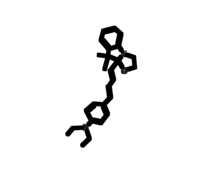 CCN(CC)c1ccc(C=CC=CC23OCCN2c2ccccc2C3(C)C)cc1